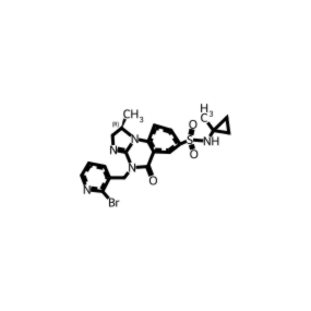 C[C@@H]1CN=C2N(Cc3cccnc3Br)C(=O)c3cc(S(=O)(=O)NC4(C)CC4)ccc3N21